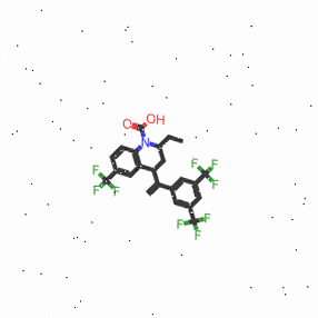 C=C(c1cc(C(F)(F)F)cc(C(F)(F)F)c1)C1CC(CC)N(C(=O)O)c2ccc(C(F)(F)F)cc21